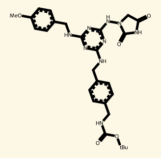 COc1ccc(CNc2nc(NCc3ccc(CNC(=O)OC(C)(C)C)cc3)nc(NN3CC(=O)NC3=O)n2)cc1